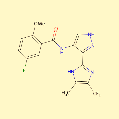 COc1ccc(F)cc1C(=O)Nc1c[nH]nc1-c1nc(C(F)(F)F)c(C)[nH]1